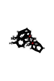 O=C(NC1C2CC3CC1CC(O)(C3)C2)N1C2CCC1CC(N1CCc3cc(F)ccc31)C2